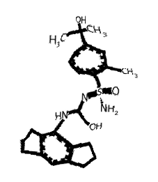 Cc1cc(C(C)(C)O)ccc1[S@@](N)(=O)=NC(O)Nc1c2c(cc3c1CCC3)CCC2